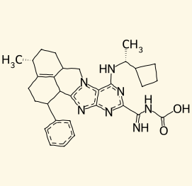 C[C@@H]1CCC2Cn3c(nc4nc(C(=N)NC(=O)O)nc(N[C@H](C)C5CCC5)c43)C3C2=C1CCC3c1ccccc1